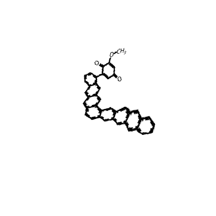 COC1=CC(=O)C=C(c2cccc3cc4cc5ccc6cc7cc8cc9ccccc9cc8cc7cc6c5cc4cc23)C1=O